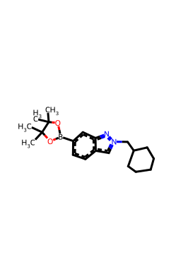 CC1(C)OB(c2ccc3cn(CC4CCCCC4)nc3c2)OC1(C)C